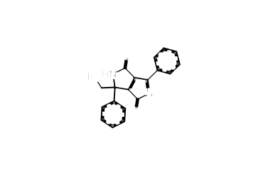 O=C1N=C(c2ccccc2)C2=C1C(CO)(c1ccccc1)NC2=O